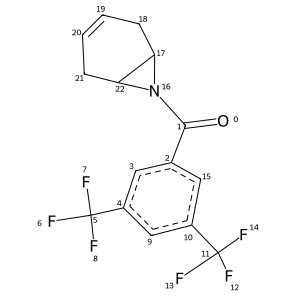 O=C(c1cc(C(F)(F)F)cc(C(F)(F)F)c1)N1C2CC=CCC21